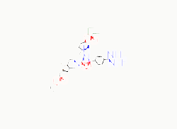 CCOC(=O)Cc1cc2c(s1)CCN(C(=O)[C@@H](Cc1ccc(OC(=O)C(F)(F)F)cc1)NC(=O)c1ccc(C(=N)N)cc1)C2